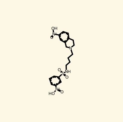 O=[N+](O)c1cccc(S(=O)(=O)NCCCCN2CCc3ccc([N+](=O)O)cc3C2)c1